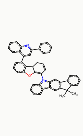 CC1(C)c2ccccc2-c2cc3c(cc21)c1ccccc1n3C1=C2Oc3cccc(-c4cc(-c5ccccc5)nc5ccccc45)c3C2CC=C1